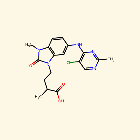 Cc1ncc(Cl)c(Nc2ccc3c(c2)n(CCC(C)C(=O)O)c(=O)n3C)n1